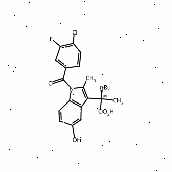 CCCC[C@@](C)(C(=O)O)c1c(C)n(C(=O)c2ccc(Cl)c(F)c2)c2ccc(O)cc12